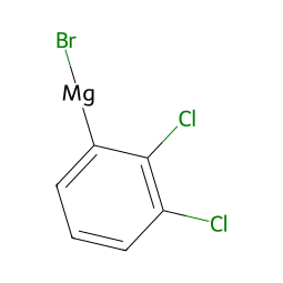 Clc1ccc[c]([Mg][Br])c1Cl